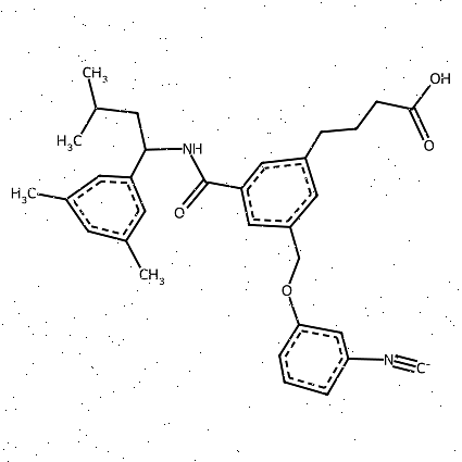 [C-]#[N+]c1cccc(OCc2cc(CCCC(=O)O)cc(C(=O)NC(CC(C)C)c3cc(C)cc(C)c3)c2)c1